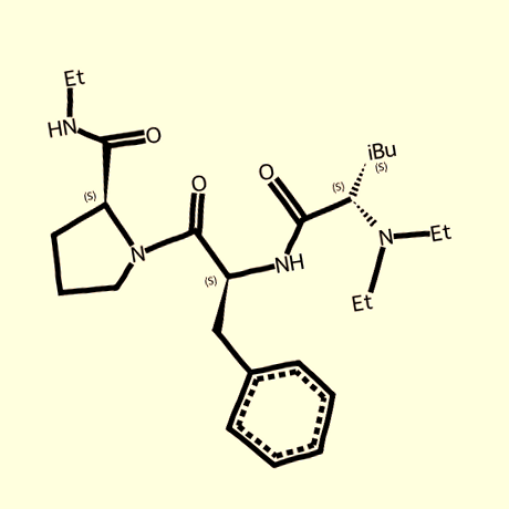 CCNC(=O)[C@@H]1CCCN1C(=O)[C@H](Cc1ccccc1)NC(=O)[C@H]([C@@H](C)CC)N(CC)CC